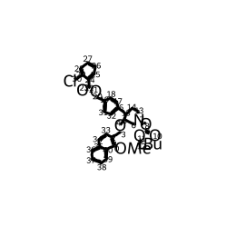 COc1c(COC2CN(OC(=O)OC(C)(C)C)CCC2c2ccc(COC(=O)c3ccccc3Cl)cc2)ccc2ccccc12